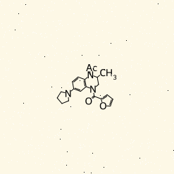 CC(=O)N1c2ccc(N3CCCC3)cc2N(C(=O)c2ccco2)CC1C